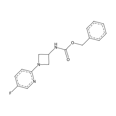 O=C(NC1CN(c2ccc(F)cn2)C1)OCc1ccccc1